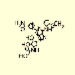 CO[C@H]1CCC[C@@H]1Nc1nc(-n2cc(C(N)=O)cn2)nc2c1ncn2[C@@H]1C[C@H](NC(=O)CO)[C@@H](O)[C@H]1O